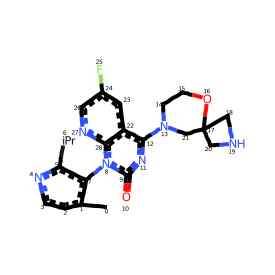 Cc1ccnc(C(C)C)c1-n1c(=O)nc(N2CCOC3(CNC3)C2)c2cc(F)cnc21